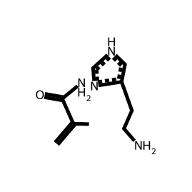 C=C(C)C(N)=O.NCCc1c[nH]cn1